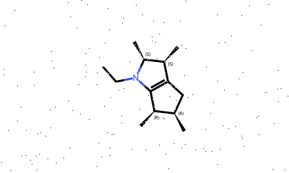 CCN1C2=C(C[C@@H](C)[C@H]2C)[C@H](C)[C@@H]1C